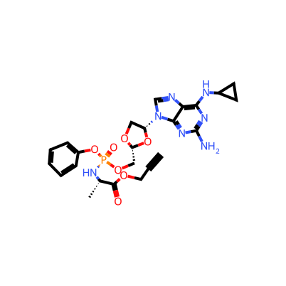 C#CCOC(=O)[C@H](C)N[P@](=O)(OC[C@@H]1OC[C@H](n2cnc3c(NC4CC4)nc(N)nc32)O1)Oc1ccccc1